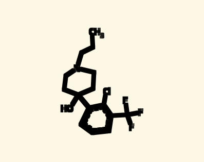 CCCN1CCC(O)(c2cccc(C(F)(F)F)c2Cl)CC1